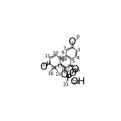 COc1ccc2c(c1)[C@]1(C)C=CC(=O)C(C)(C)C1=C(OP(C)(=O)O)C2=O